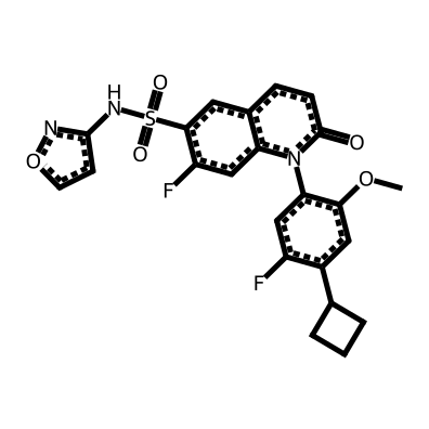 COc1cc(C2CCC2)c(F)cc1-n1c(=O)ccc2cc(S(=O)(=O)Nc3ccon3)c(F)cc21